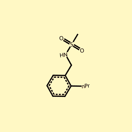 CCCc1ccccc1CNS(C)(=O)=O